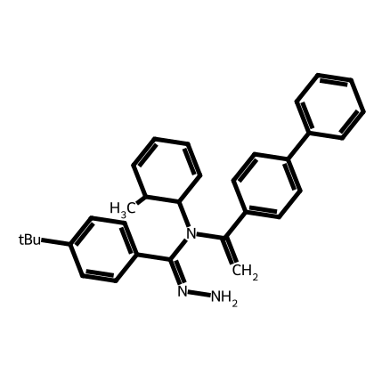 C=C(c1ccc(-c2ccccc2)cc1)N(/C(=N\N)c1ccc(C(C)(C)C)cc1)C1C=CC=CC1C